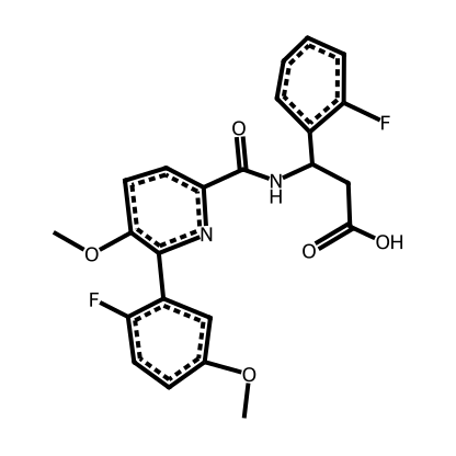 COc1ccc(F)c(-c2nc(C(=O)NC(CC(=O)O)c3ccccc3F)ccc2OC)c1